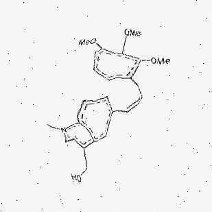 COc1ccc(/C=C\c2ccc3c(c2)c(CO)cn3C)c(OC)c1OC